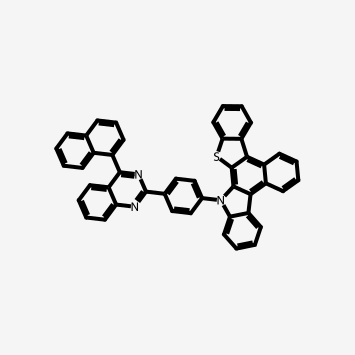 c1ccc2c(-c3nc(-c4ccc(-n5c6ccccc6c6c7ccccc7c7c8ccccc8sc7c65)cc4)nc4ccccc34)cccc2c1